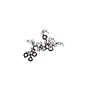 CCOC(=O)N1CC=CC(C2=C(C(=O)OCc3ccc(OC)cc3)N3C(=O)[C@@H](NC(=O)/C(=N\OC)c4csc(NC(c5ccccc5)(c5ccccc5)c5ccccc5)n4)[C@@H]3SC2)N1C(=O)OCC